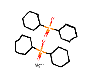 O=P([O-])(C1CCCCC1)C1CCCCC1.O=P([O-])(C1CCCCC1)C1CCCCC1.[Mg+2]